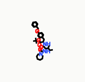 CCC(C)C(NC(=O)N1CCCCCC1)C(=O)NC(Cc1ccc(OCc2ccccc2)cc1)C(=O)OC(C)(C)C